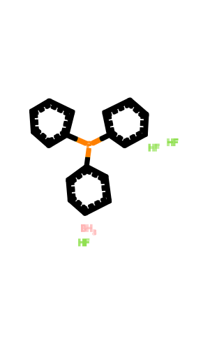 B.F.F.F.c1ccc(P(c2ccccc2)c2ccccc2)cc1